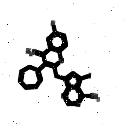 C=C1C(C2=CC=CC=CC2)=C(Cn2cc(I)c3c(C)ncnc32)Oc2ccc(F)cc21